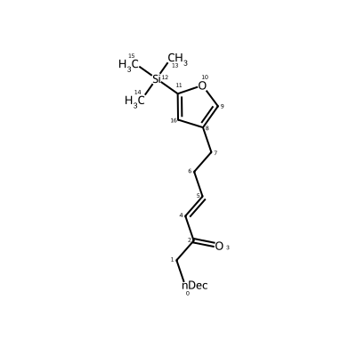 CCCCCCCCCCCC(=O)C=CCCc1coc([Si](C)(C)C)c1